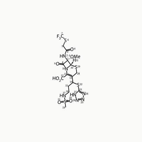 CO[C@@]1(NC(=O)CSC(F)(F)F)C(=O)N2C(C(=O)O)=C(C(CCNS(C)(=O)=O)Sc3nnn[nH]3)CS[C@H]21